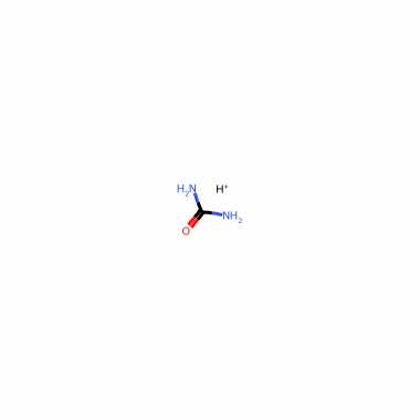 NC(N)=O.[H+]